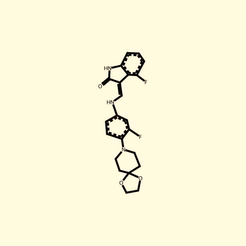 O=C1Nc2cccc(F)c2C1=CNc1ccc(N2CCC3(CC2)OCCO3)c(F)c1